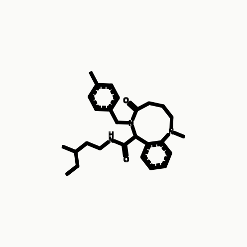 CCC(C)CCNC(=O)C1c2ccccc2N(C)CCCC(=O)N1Cc1ccc(C)cc1